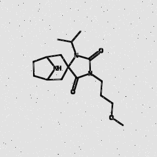 COCCCN1C(=O)N(C(C)C)C2(CC3CCC(C2)N3)C1=O